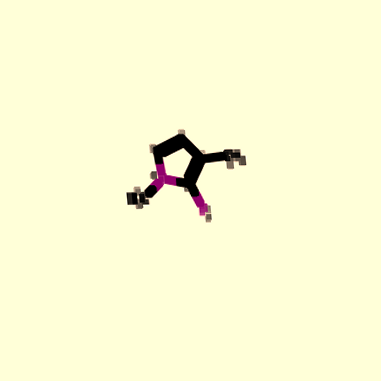 Cc1ccp(C)c1[P]